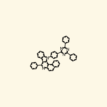 c1ccc(-c2nc(-c3ccccc3)nc(-c3ccc(-n4c5ccccc5c5c(-c6ccccc6)nc6ccc7ccccc7c6c54)cc3)n2)cc1